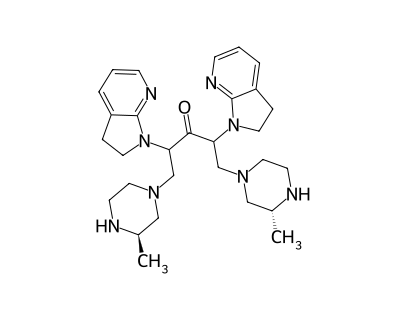 C[C@@H]1CN(CC(C(=O)C(CN2CCN[C@H](C)C2)N2CCc3cccnc32)N2CCc3cccnc32)CCN1